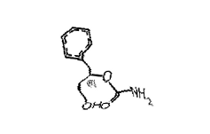 NC(=O)O[C@@H](CO)c1ccccc1